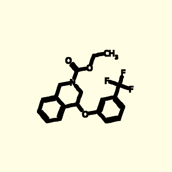 CCOC(=O)N1Cc2ccccc2C(Oc2cccc(C(F)(F)F)c2)C1